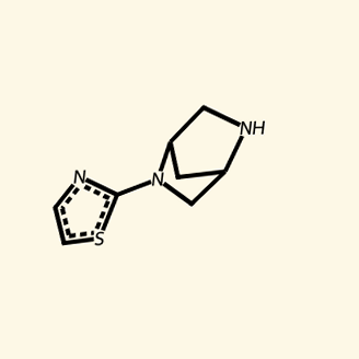 c1csc(N2CC3CC2CN3)n1